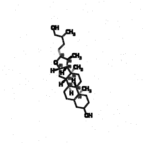 CC(CO)CC[C@H]1O[C@H]2C[C@H]3[C@@H]4CCC5CC(O)CC[C@]5(C)[C@H]4CC[C@]3(C)[C@H]2[C@@H]1C